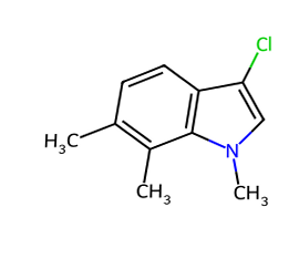 Cc1ccc2c(Cl)cn(C)c2c1C